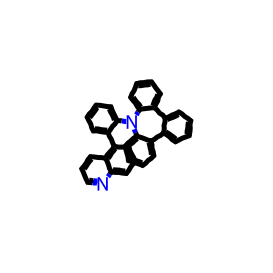 c1ccc2c(c1)-c1ccccc1N(c1ccccc1-c1cccc3ncccc13)c1ccccc1-2